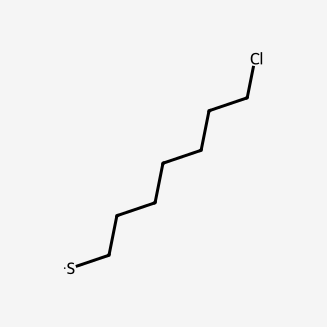 [S]CCCCCCCCl